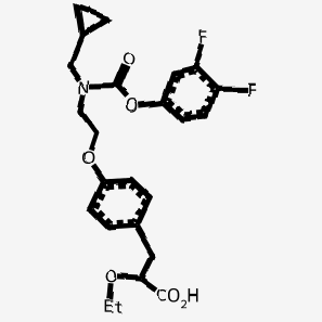 CCOC(Cc1ccc(OCCN(CC2CC2)C(=O)Oc2ccc(F)c(F)c2)cc1)C(=O)O